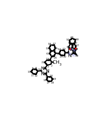 CC1CC(c2nc(-c3ccccc3)nc(-c3ccccc3)n2)=CC=C1c1cc(-c2ccc(C3=N/C(C4C=CC=CCC4)=C/C=C/C(c4ccccc4)=N\3)cc2)c2ccccc2c1